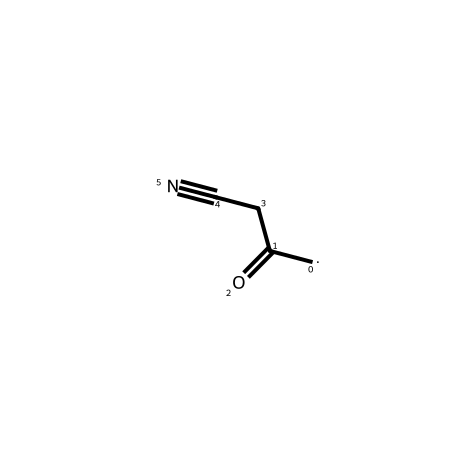 [CH2]C(=O)CC#N